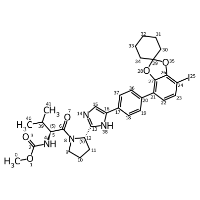 COC(=O)N[C@H](C(=O)N1CCC[C@H]1c1ncc(-c2ccc(-c3ccc(I)c4c3OC3(CCCCC3)O4)cc2)[nH]1)C(C)C